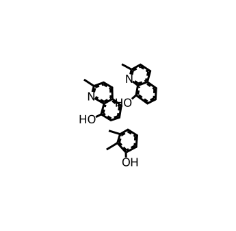 Cc1ccc2cccc(O)c2n1.Cc1ccc2cccc(O)c2n1.Cc1cccc(O)c1C